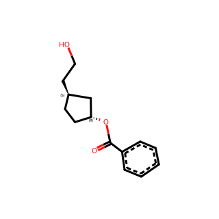 O=C(O[C@@H]1CC[C@@H](CCO)C1)c1ccccc1